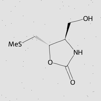 CSC[C@H]1OC(=O)N[C@@H]1CO